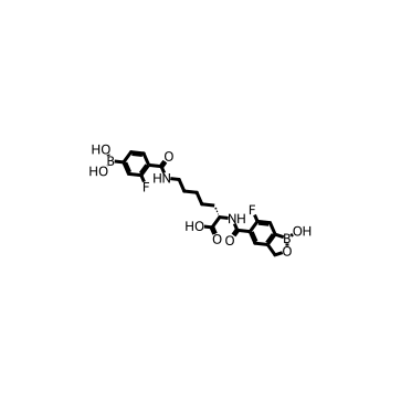 O=C(NCCCCC[C@H](NC(=O)c1cc2c(cc1F)B(O)OC2)C(=O)O)c1ccc(B(O)O)cc1F